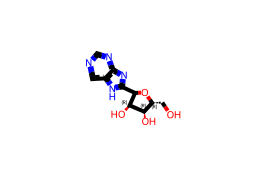 OC[C@H]1OC(c2nc3ncncc3[nH]2)[C@H](O)[C@H]1O